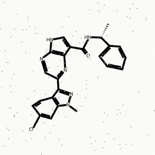 C[C@@H](NC(=O)c1c[nH]c2ncc(-c3nn(C)c4cc(Cl)ccc34)nc12)c1ccccc1